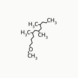 CCCC(C)CC(C)CC(C)CCCCOCC